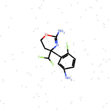 NC1=NC(c2cc(N)ccc2F)(C(F)F)CCO1